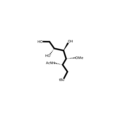 CO[C@@H]([C@H](O)[C@H](O)CO)[C@H](CC(C)(C)C)NC(C)=O